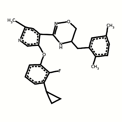 Cc1ccc(C)c(CC2CON=C(c3cc(C)ncc3Oc3cccc(C4CC4)c3F)N2)c1